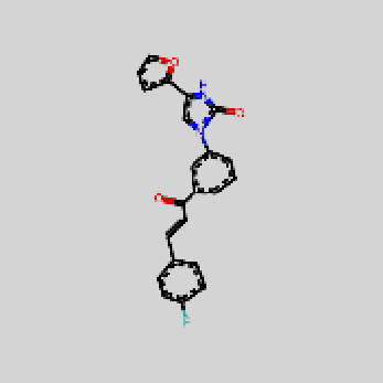 O=C(C=Cc1ccc(F)cc1)c1cccc(-n2cc(-c3ccco3)[nH]c2=O)c1